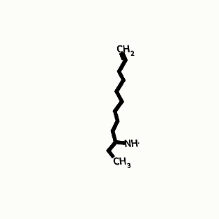 C=CCCCCCCCC([NH])CC